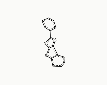 c1ccc(-c2nc3sc4ccccc4c3s2)cc1